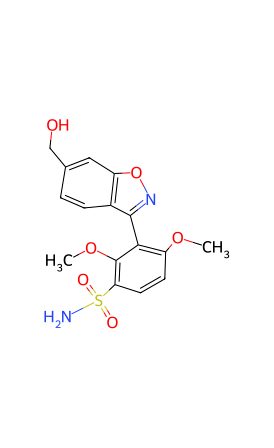 COc1ccc(S(N)(=O)=O)c(OC)c1-c1noc2cc(CO)ccc12